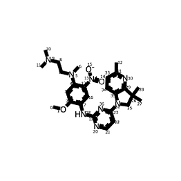 COc1cc(N(C)CCN(C)C)c([N+](=O)[O-])cc1Nc1nccc(N2CC(C)(C)c3nc(C)ccc32)n1